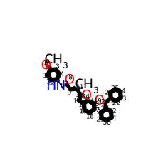 COc1ccc(NC(=O)C=C(C)c2cc3cccc(OC(c4ccccc4)c4ccccc4)c3o2)cc1